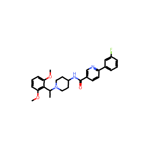 COc1cccc(OC)c1C(C)N1CCC(NC(=O)c2ccc(-c3cccc(F)c3)nc2)CC1